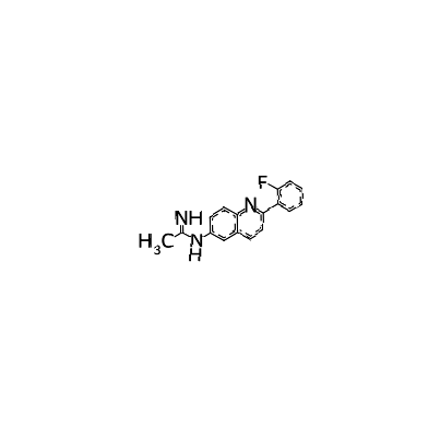 CC(=N)Nc1ccc2nc(-c3ccccc3F)ccc2c1